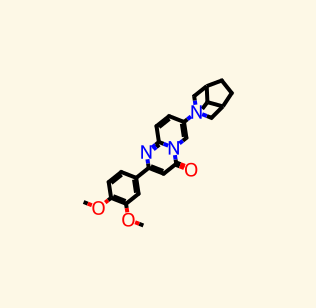 COc1ccc(-c2cc(=O)n3cc(N4CC5CCC(C4)C5C)ccc3n2)cc1OC